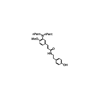 CCCCCN(CCCCC)c1cc(/C=C/C(=O)NCCc2ccc(O)cc2)ccc1OC